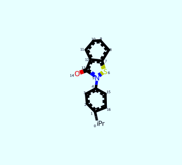 CC(C)c1ccc(-n2sc3ccccc3c2=O)cc1